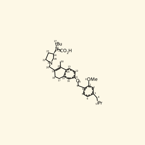 COc1cc(CC(C)C)ccc1COc1ccc2c(c1)CCC(CN1CC[C@@H](N(C(=O)O)C(C)(C)C)C1)=C2C